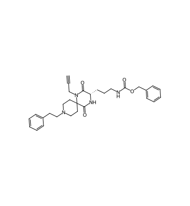 C#CCN1C(=O)[C@H](CCCNC(=O)OCc2ccccc2)NC(=O)C12CCN(CCc1ccccc1)CC2